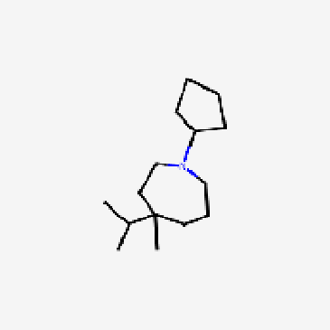 CC(C)C1(C)CCCN(C2CCCC2)CC1